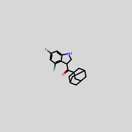 O=C(C1CNc2cc(F)cc(F)c21)C12CC3CC(CC(C3)C1)C2